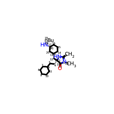 C=C1N[C@](CCC2CCCCC2)(C[C@H]2CCC[C@@H](NCCCC)C2)C(=O)N1C